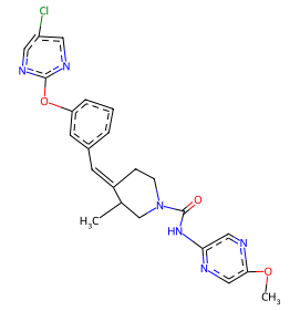 COc1cnc(NC(=O)N2CC/C(=C\c3cccc(Oc4ncc(Cl)cn4)c3)C(C)C2)cn1